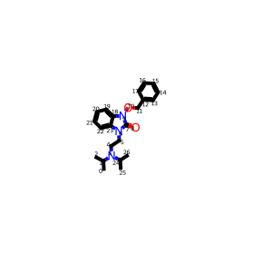 CC(C)N(CCn1c(=O)n(OCc2ccccc2)c2ccccc21)C(C)C